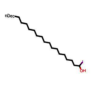 CCCCCCCCCCCCCCCCCCCCCCCCCCC(O)I